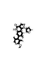 COc1ncc(C)c(-c2cc3[nH]c(=O)c4cnn([C@@H]5CCOC5)c4c3cc2F)c1C